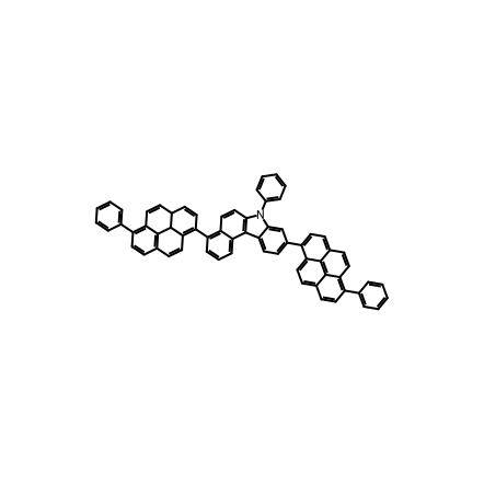 C1=CC2C=Cc3c(-c4ccccc4)ccc4c3C2C(=C1c1cccc2c1ccc1c2c2ccc(-c3ccc5ccc6c(-c7ccccc7)ccc7ccc3c5c76)cc2n1-c1ccccc1)C=C4